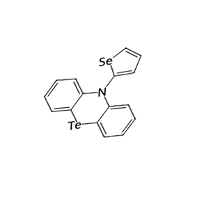 c1c[se]c(N2c3ccccc3[Te]c3ccccc32)c1